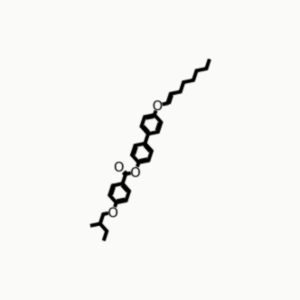 CCCCCCC=COc1ccc(-c2ccc(OC(=O)c3ccc(OCC(C)CC)cc3)cc2)cc1